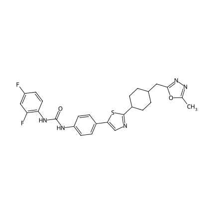 Cc1nnc(CC2CCC(c3ncc(-c4ccc(NC(=O)Nc5ccc(F)cc5F)cc4)s3)CC2)o1